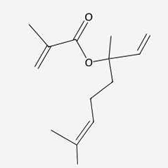 C=CC(C)(CCC=C(C)C)OC(=O)C(=C)C